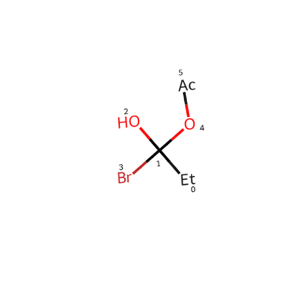 CCC(O)(Br)OC(C)=O